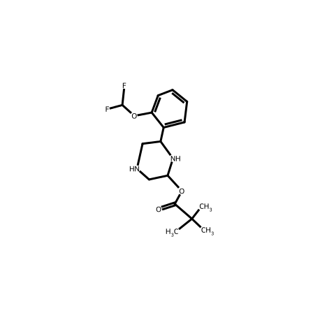 CC(C)(C)C(=O)OC1CNCC(c2ccccc2OC(F)F)N1